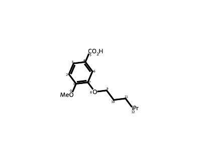 COc1ccc(C(=O)O)cc1OCCCC(C)C